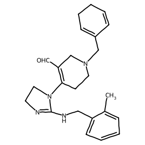 Cc1ccccc1CNC1=NCCN1C1=C(C=O)CN(CC2=CCCC=C2)CC1